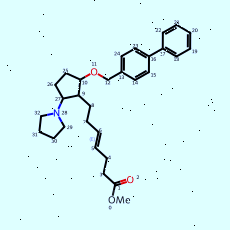 COC(=O)CC/C=C/CCC1C(OCc2ccc(-c3ccccc3)cc2)CCC1N1CCCC1